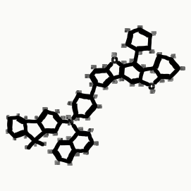 CC1(C)c2ccccc2-c2ccc(N(c3ccc(-c4ccc5oc6c(-c7ccccc7)c7c(cc6c5c4)oc4ccccc47)cc3)c3cccc4ccccc34)cc21